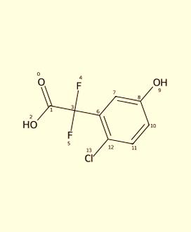 O=C(O)C(F)(F)c1cc(O)ccc1Cl